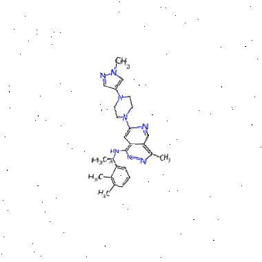 Cc1cccc([C@@H](C)Nc2nnc(C)c3cnc(N4CCN(c5cnn(C)c5)CC4)cc23)c1C